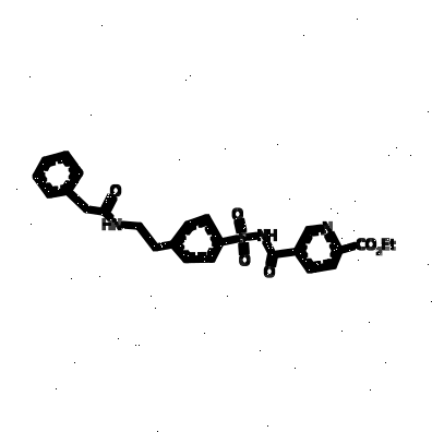 CCOC(=O)c1ccc(C(=O)NS(=O)(=O)c2ccc(CCNC(=O)Cc3ccccc3)cc2)cn1